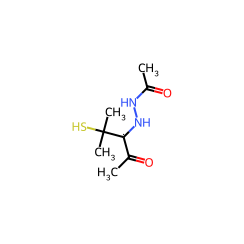 CC(=O)NN[C](C(C)=O)C(C)(C)S